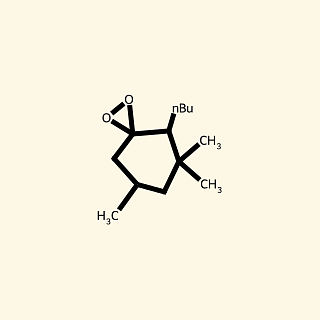 CCCCC1C(C)(C)CC(C)CC12OO2